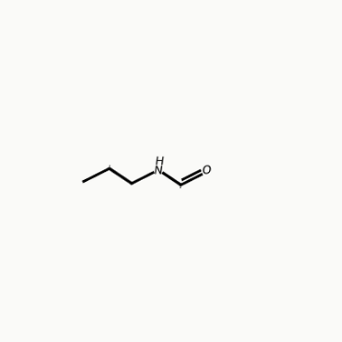 C[CH]CN[C]=O